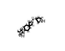 CS(=O)(=O)NC1CCC2(CC1)CN(C[C@@H]1CCNC1)C2